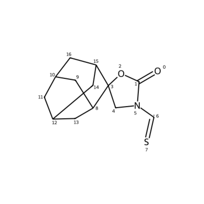 O=C1OC2(CN1[C]=S)C1CC3CC(C1)CC2C3